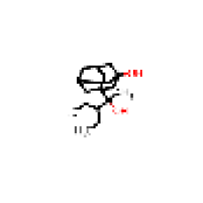 CCC(CC)C(C)(O)C12CC3CC(CC(O)(C3)C1)C2